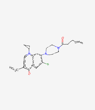 COCCC(=O)N1CCN(c2cc3c(cc2F)c(=O)c(C(=O)O)cn3C2CC2)CC1